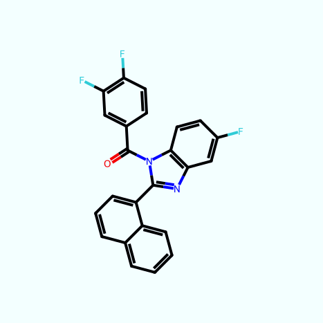 O=C(c1ccc(F)c(F)c1)n1c(-c2cccc3ccccc23)nc2cc(F)ccc21